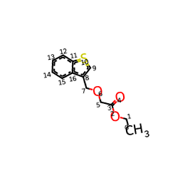 CCOC(=O)COCc1csc2ccccc12